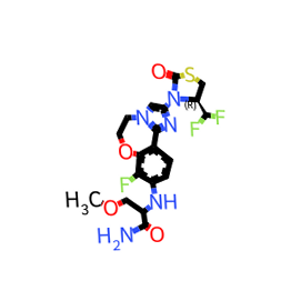 COCC(Nc1ccc2c(c1F)OCCn1cc(N3C(=O)SC[C@H]3C(F)F)nc1-2)C(N)=O